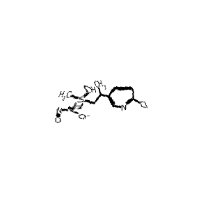 CC(C[SH](C)(O)=[N+]([O-])N=O)c1ccc(Cl)nc1